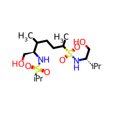 CC(CCC(C)S(=O)(=O)N[C@H](CO)C(C)C)[C@H](CO)NS(=O)(=O)C(C)C